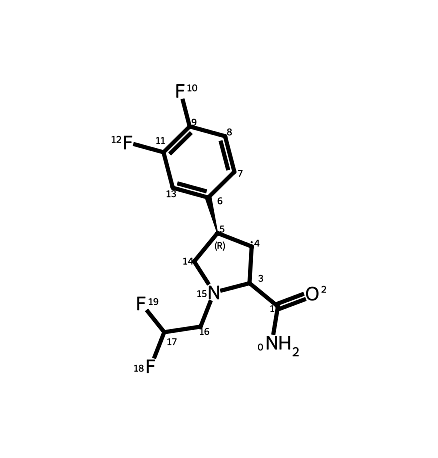 NC(=O)C1[CH][C@H](c2ccc(F)c(F)c2)CN1CC(F)F